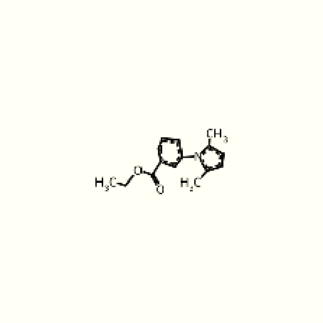 CCOC(=O)c1cccc(-n2c(C)ccc2C)c1